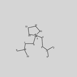 CC(C)CC[Si]1(CCC(C)C)CCCC1